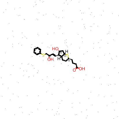 O=C(O)CCC[C@H]1CC[C@@H]2[C@@H](C=C[C@@H](O)CSc3ccccc3)[C@H](O)C[C@@H]2S1